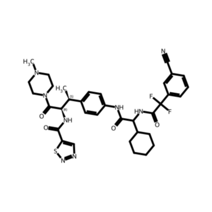 C[C@@H](c1ccc(NC(=O)C(NC(=O)C(F)(F)c2cccc(C#N)c2)C2CCCCC2)cc1)[C@@H](NC(=O)c1cnns1)C(=O)N1CCN(C)CC1